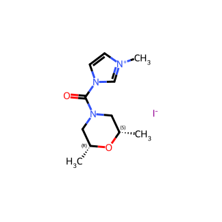 C[C@@H]1CN(C(=O)n2cc[n+](C)c2)C[C@H](C)O1.[I-]